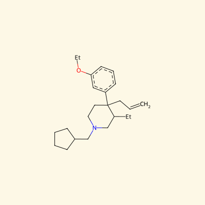 C=CCC1(c2cccc(OCC)c2)CCN(CC2CCCC2)CC1CC